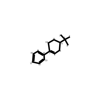 CC(C)(C)C1CC=C(c2cc[c]cc2)CC1